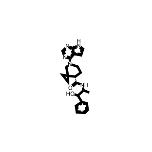 CC(NC(=O)[C@H]1CCN(c2ncnc3[nH]ccc23)CC12CC2)C(O)c1ccccc1